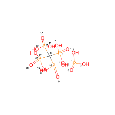 O=P(O)(O)OP(=O)(O)C(P(=O)(O)O)(P(=O)(O)O)P(=O)(O)O